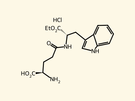 CCOC(=O)[C@H](Cc1c[nH]c2ccccc12)NC(=O)CC[C@@H](N)C(=O)O.Cl